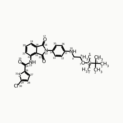 CC(C)(C)[Si](C)(C)OCCNc1ccc(N2C(=O)c3cccc(NC(=O)c4ccc(Cl)s4)c3C2=O)cc1